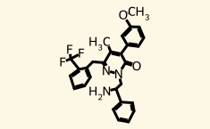 COc1cccc(-c2c(C)c(Cc3ccccc3C(F)(F)F)nn(CC(N)c3ccccc3)c2=O)c1